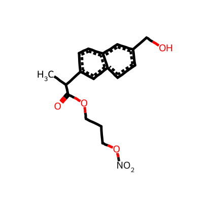 CC(C(=O)OCCCO[N+](=O)[O-])c1ccc2cc(CO)ccc2c1